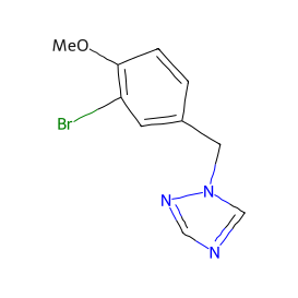 COc1ccc(Cn2cncn2)cc1Br